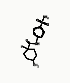 CC1CCC(C(=O)Nc2ccc(S(N)(=O)=O)cc2)(C(C)C)CC1